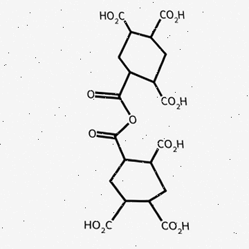 O=C(O)C1CC(C(=O)O)C(C(=O)OC(=O)C2CC(C(=O)O)C(C(=O)O)CC2C(=O)O)CC1C(=O)O